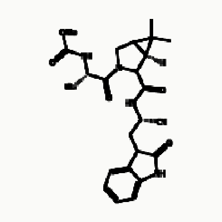 COC(=O)N[C@H](C(=O)N1CC2[C@H](C1C(=O)N[C@H](C#N)CC1C(=O)Nc3ccccc31)C2(C)C)C(C)(C)C